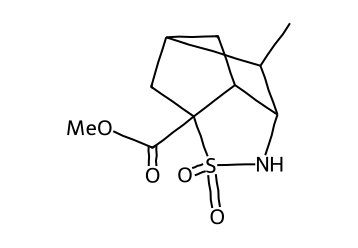 COC(=O)C12CC3CC1C(NS2(=O)=O)C3C